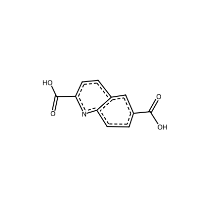 O=C(O)c1ccc2nc(C(=O)O)ccc2c1